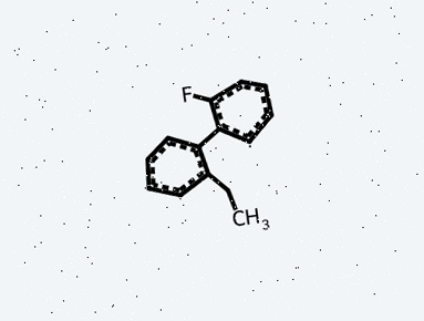 CCc1ccccc1-c1[c]cccc1F